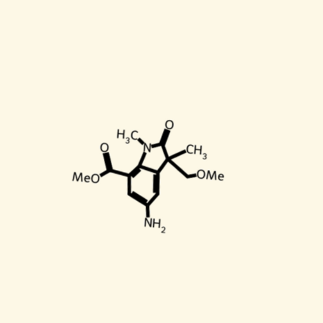 COCC1(C)C(=O)N(C)c2c(C(=O)OC)cc(N)cc21